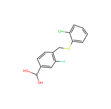 OB(O)c1ccc(CSc2ccccc2Cl)c(F)c1